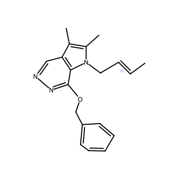 C/C=C/Cn1c(C)c(C)c2cnnc(OCc3ccccc3)c21